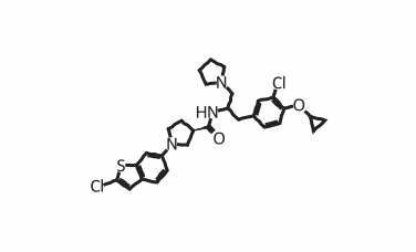 O=C(NC(Cc1ccc(OC2CC2)c(Cl)c1)CN1CCCC1)[C@@H]1CCN(c2ccc3cc(Cl)sc3c2)C1